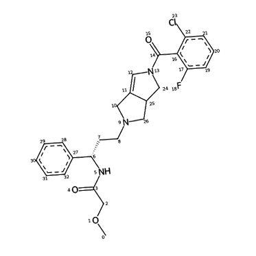 COCC(=O)N[C@@H](CCN1CC2=CN(C(=O)c3c(F)cccc3Cl)CC2C1)c1ccccc1